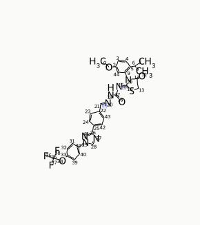 COc1ccc(C(C)C)c(N2C(=O)CS/C2=N\C(=O)N/N=C/c2ccc(-c3ncn(-c4ccc(OC(F)(F)F)cc4)n3)cc2)c1